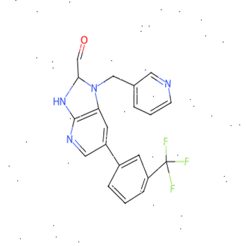 O=CC1Nc2ncc(-c3cccc(C(F)(F)F)c3)cc2N1Cc1cccnc1